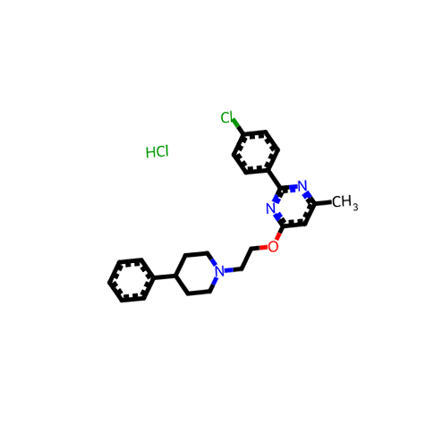 Cc1cc(OCCN2CCC(c3ccccc3)CC2)nc(-c2ccc(Cl)cc2)n1.Cl